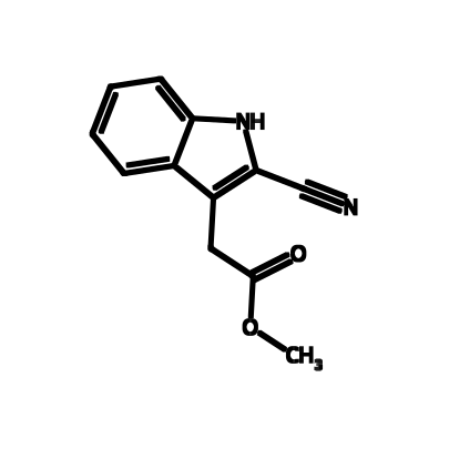 COC(=O)Cc1c(C#N)[nH]c2ccccc12